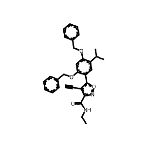 C#Cc1c(C(=O)NCC)noc1-c1cc(C(C)C)c(OCc2ccccc2)cc1OCc1ccccc1